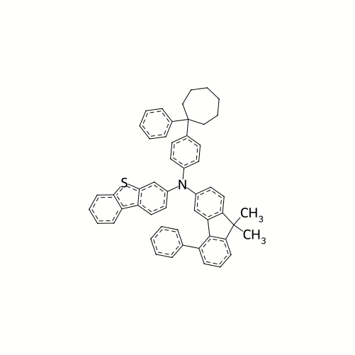 CC1(C)c2ccc(N(c3ccc(C4(c5ccccc5)CCCCCC4)cc3)c3ccc4c(c3)sc3ccccc34)cc2-c2c(-c3ccccc3)cccc21